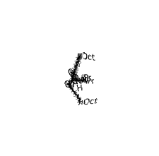 CCCCCCCCC=CCCCCCCCC(=O)OCC(COC(=O)CCCCCCCC=CCCCCCCCC)OC(=O)NCCN(C(C)C)C(C)C